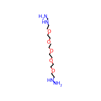 NCNCCOCCOCCOCCOCCOCCNN